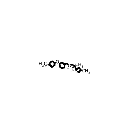 COc1ccc(Oc2cccc(COCC(C)(C)c3cc(C)cs3)c2)cc1